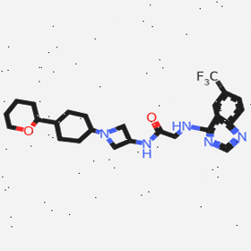 O=C(CNc1ncnc2ccc(C(F)(F)F)cc12)NC1CN(C2CCC(C3CCCCO3)CC2)C1